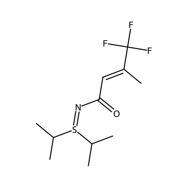 C/C(=C\C(=O)N=S(C(C)C)C(C)C)C(F)(F)F